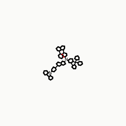 c1ccc(-c2cccc3cccc(-c4ccc(N(c5ccc6c(c5)-c5ccccc5C6(c5ccccc5)c5ccccc5)c5ccc6cc(-c7ccc(-n8c9ccccc9c9ccccc98)cc7)ccc6c5)cc4)c23)cc1